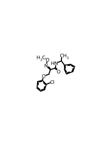 CON=C(COc1ccccc1Cl)C(=O)NC(C)c1ccccc1